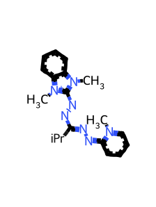 CC(C)C(N=Nc1n(C)c2ccccc2[n+]1C)=NN=c1ccccn1C